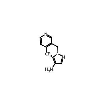 Nc1cnn(Cc2cnccc2C(F)(F)F)c1